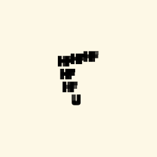 F.F.F.F.F.[U]